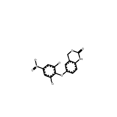 O=C1Nc2ccc(Oc3c(Cl)cc([N+](=O)[O-])cc3Cl)cc2CO1